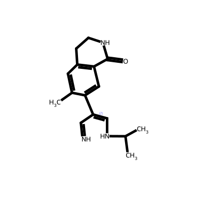 Cc1cc2c(cc1/C(C=N)=C/NC(C)C)C(=O)NCC2